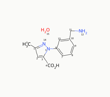 Cc1cc(C(=O)O)n(-c2cccc(CN)c2)n1.O